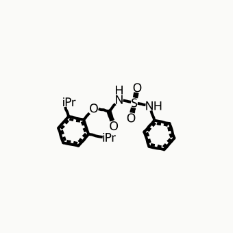 CC(C)c1cccc(C(C)C)c1OC(=O)NS(=O)(=O)Nc1ccccc1